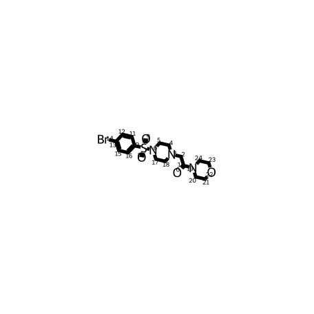 O=C(CN1CCN(S(=O)(=O)c2ccc(Br)cc2)CC1)N1CCOCC1